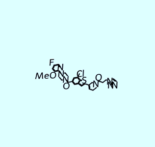 COc1cc(F)cnc1N1CCN(C(=O)c2cc(Cl)c3sc(C4=CCCN(C(=O)CCn5ccnn5)C4)cc3c2)CC1